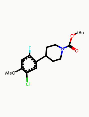 COc1cc(F)c(C2CCN(C(=O)OC(C)(C)C)CC2)cc1Cl